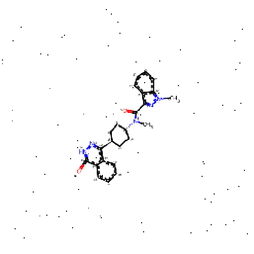 Cn1nc(C(=O)N(C)[C@H]2CC[C@H](c3n[nH]c(=O)c4ccccc43)CC2)c2ccccc21